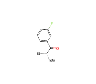 CCCC[C@H](CC)C(=O)c1cccc(F)c1